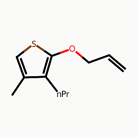 C=CCOc1scc(C)c1CCC